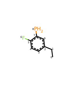 CCc1ccc(F)c(P)c1